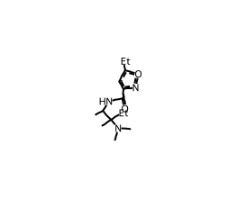 CCc1cc(C(=O)NC(C)C(C)(CC)N(C)C)no1